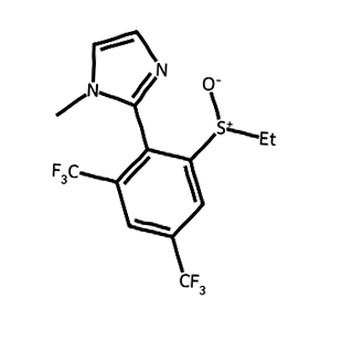 CC[S+]([O-])c1cc(C(F)(F)F)cc(C(F)(F)F)c1-c1nccn1C